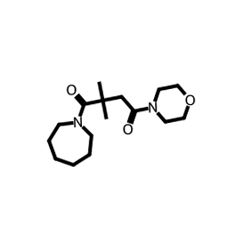 CC(C)(CC(=O)N1CCOCC1)C(=O)N1CCCCCC1